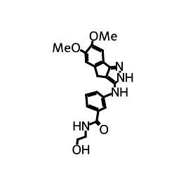 COc1cc2c(cc1OC)-c1n[nH]c(Nc3cccc(C(=O)NCCO)c3)c1C2